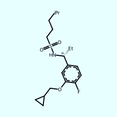 CC[C@@H](NS(=O)(=O)CCCC(C)C)c1ccc(F)c(OCC2CC2)c1